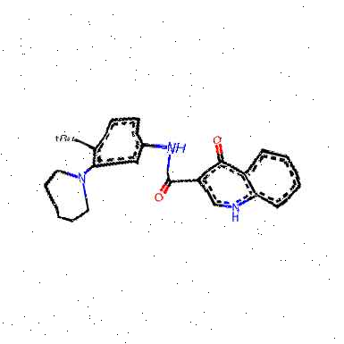 CC(C)(C)c1ccc(NC(=O)c2c[nH]c3ccccc3c2=O)cc1N1CCCCC1